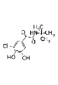 CC(C)(C)NC(=O)C(=O)c1cc(O)c(O)c(Cl)c1